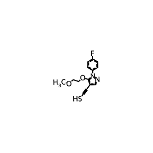 COCCOc1c(C#CS)cnn1-c1ccc(F)cc1